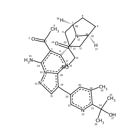 CC(=O)c1c([C@@H]2C[C@H]3CC[C@@H](C2)N3C(=O)CO)nc2c(-c3cnc(C(C)(C)O)c(C)c3)cnn2c1N